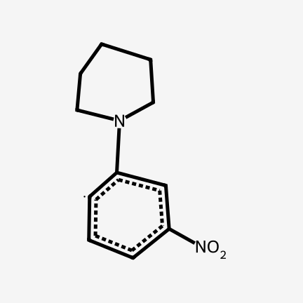 O=[N+]([O-])c1cc[c]c(N2CCCCC2)c1